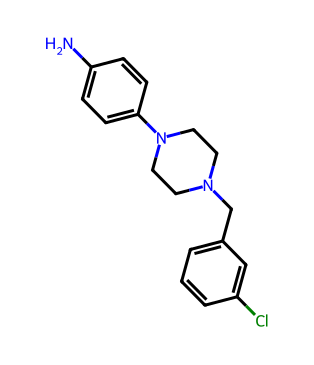 Nc1ccc(N2CCN(Cc3cccc(Cl)c3)CC2)cc1